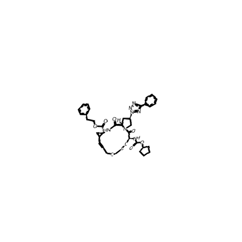 O=C(N[C@H]1CCCCC/C=C\C2C[C@@]2(C(=O)OCCc2ccccc2)NC(=O)[C@@H]2C[C@@H](n3nnc(-c4ccccc4)n3)CN2C1=O)OC1CCCC1